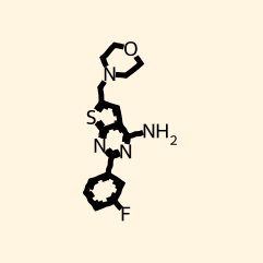 Nc1nc(-c2cccc(F)c2)nc2sc(CN3CCOCC3)cc12